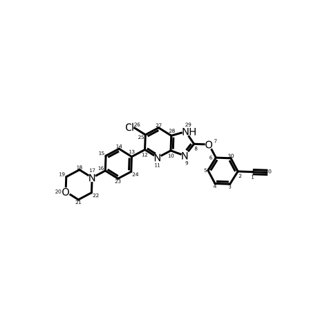 C#Cc1cccc(Oc2nc3nc(-c4ccc(N5CCOCC5)cc4)c(Cl)cc3[nH]2)c1